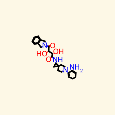 NC1=CCCC=C1N1CCC2(CC1)CC2NC(=O)[C@H](O)[C@@H](O)C(=O)N1Cc2ccccc2C1